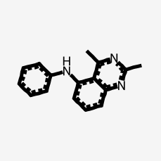 Cc1nc(C)c2c(Nc3ccccc3)cccc2n1